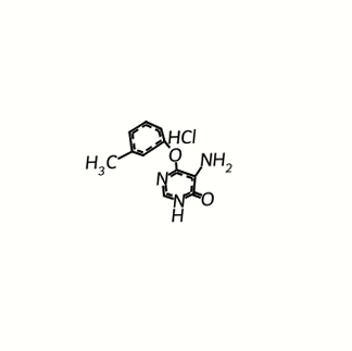 Cc1cccc(Oc2nc[nH]c(=O)c2N)c1.Cl